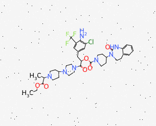 CCOC(=O)C(C)N1CCC(N2CCN(C(=O)C(Cc3cc(Cl)c(N)c(C(F)(F)F)c3)OC(=O)N3CCC(N4CCc5ccccc5NC4=O)CC3)CC2)CC1